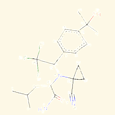 CC(C)C[C@@H](C(N)=O)N([C@@H](c1ccc(C(C)(C)O)cc1)C(F)(F)F)C1(C#N)CC1